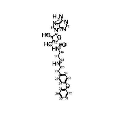 Nc1ncnc2c1ncn2[C@@H]1O[C@H](C(=O)NCCCNCCc2ccc(Oc3ccccc3)cc2)[C@@H](O)[C@H]1O